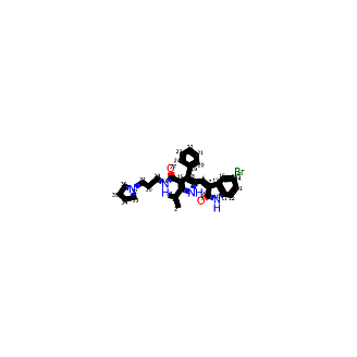 CC(C)c1[nH]c(C=C2C(=O)Nc3ccc(Br)cc32)c(-c2ccccc2)c1C(=O)NCCCN1CCCC1